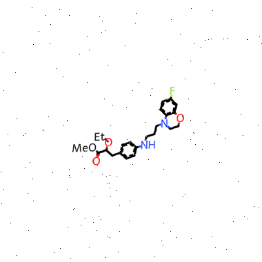 CCOC(Cc1ccc(NCCCN2CCOc3cc(F)ccc32)cc1)C(=O)OC